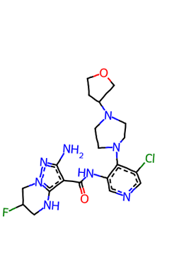 Nc1nn2c(c1C(=O)Nc1cncc(Cl)c1N1CCN(C3CCOC3)CC1)NCC(F)C2